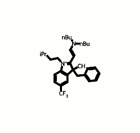 CCCCN(/C=C/C1=[N+](CCC(C)C)c2ccc(C(F)(F)F)cc2C1(C)Cc1ccccc1)CCCC